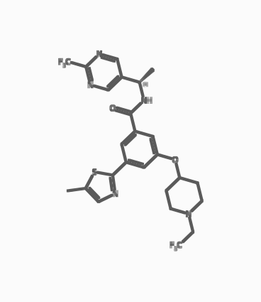 Cc1cnc(-c2cc(OC3CCN(CC(F)(F)F)CC3)cc(C(=O)N[C@H](C)c3cnc(C(F)(F)F)nc3)c2)s1